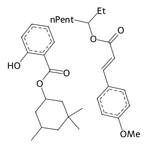 CC1CC(OC(=O)c2ccccc2O)CC(C)(C)C1.CCCCCC(CC)OC(=O)C=Cc1ccc(OC)cc1